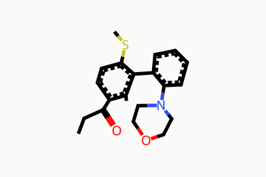 CCC(=O)c1ccc(SC)c(-c2ccccc2N2CCOCC2)c1C